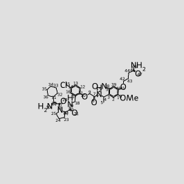 COc1cc(C(C)NC(=O)COc2ccc(Cl)cc2CNC(=O)[C@H]2CCCN2C(=O)[C@@H](N)C2CCCCC2)c([N+](=O)[O-])cc1OCCCC(N)=O